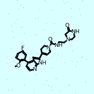 COc1ccc(F)cc1-c1ccnc2[nH]c(C3=CCN(C(=O)NCCN4CCNC(=O)C4)CC3)cc12